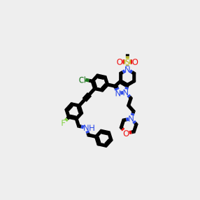 CS(=O)(=O)N1CCc2c(c(-c3ccc(Cl)c(C#Cc4ccc(F)c(CNCc5ccccc5)c4)c3)nn2CCCN2CCOCC2)C1